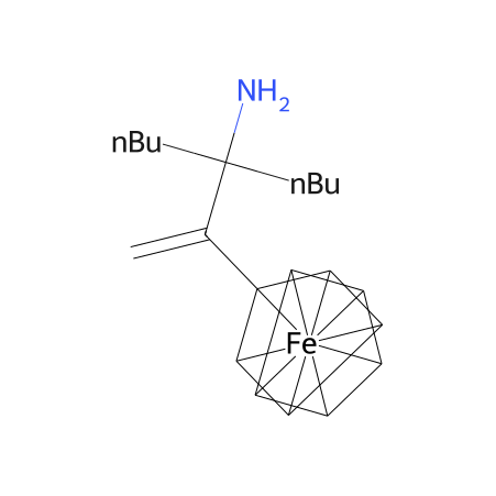 C=C(C(N)(CCCC)CCCC)[C]12[CH]3[CH]4[CH]5[CH]1[Fe]45321678[CH]2[CH]1[CH]6[CH]7[CH]28